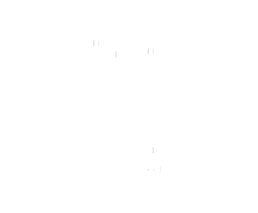 OBCCCCCB(O)O